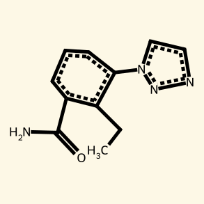 CCc1c(C(N)=O)cccc1-n1ccnn1